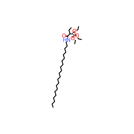 CCCCCCCCCCCCCCCCCCCCCCNC(=O)C(CC)[Si](OCC)(OCC)OCC